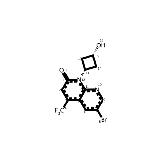 O=c1cc(C(F)(F)F)c2cc(Br)cnc2n1[C@H]1C[C@@H](O)C1